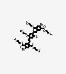 COCCOC(=O)c1cc(/C=C/c2cc(OCCOC)c(/C=C/c3cc(C(=O)OCCOC)c(Br)cc3C(=O)OCCOC)cc2OC)c(C(=O)OCCOC)cc1Br